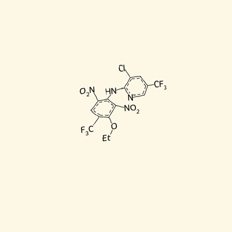 CCOc1c(C(F)(F)F)cc([N+](=O)[O-])c(Nc2ncc(C(F)(F)F)cc2Cl)c1[N+](=O)[O-]